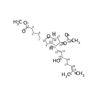 COC(=O)CCCC[C@H]1C[C@@H]2[C@@H](/C=C/[C@@H](O)CCC=C(C)C)[C@H](OC(C)=O)C[C@@H]2O1